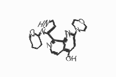 Oc1cc(N2CCOCC2)nc2c(C3=CCNN3C3CCCCO3)nccc12